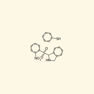 O=[N+]([O-])c1ccccc1S(=O)(=O)C1NCc2ccccc21.Sc1ccccc1